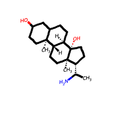 CC(N)[C@H]1CC[C@]2(O)[C@@H]3CCC4CC(O)CC[C@]4(C)[C@H]3CC[C@]12C